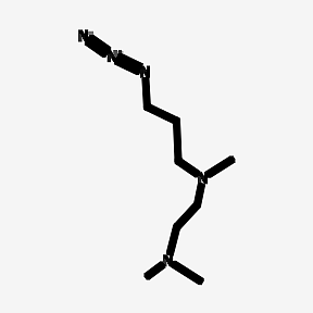 CN(C)CCN(C)CCCN=[N+]=[N-]